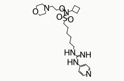 N=C(NCCCCCCS(=O)(=O)N(OCCN1CCOCC1)C1CCC1)Nc1ccncc1